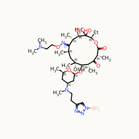 Bn1cc(CCN(C)[C@@H]2C[C@H](O[C@@H]3[C@@H](C)C(=O)[C@@H](C)C(=O)O[C@H](CC)[C@@](C)(O)[C@H](O)[C@@H](C)/C(=N/OCCN(C)C)[C@H](C)C[C@@]3(C)OC)O[C@H](C)C2)nn1